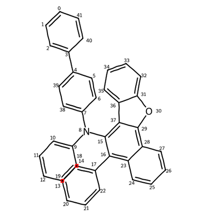 c1ccc(-c2ccc(N(c3ccccc3)c3c(-c4ccccc4)c4ccccc4c4oc5ccccc5c34)cc2)cc1